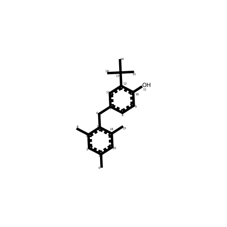 Cc1cc(C)c(Cc2ccc(O)c(C(C)(C)C)c2)c(C)c1